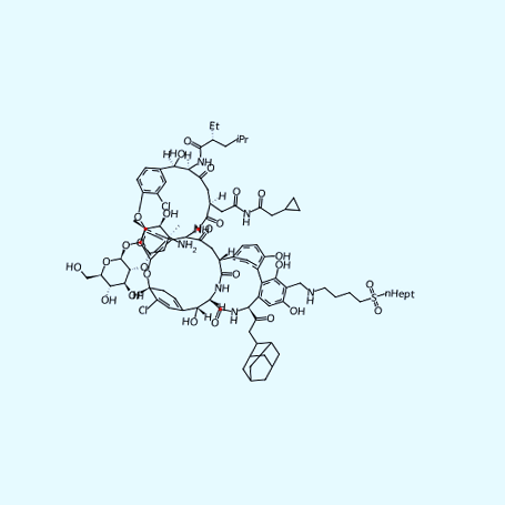 CCCCCCCS(=O)(=O)CCCCNCc1c(O)cc2c(c1O)-c1cc(ccc1O)[C@H]1CC(=O)[C@@H]3NC(=O)[C@H](CC(=O)NC(=O)CC4CC4)CC(=O)[C@H](NC(=O)[C@H](CC)CC(C)C)[C@H](O)c4ccc(c(Cl)c4)Oc4cc3cc(c4O[C@@H]3O[C@H](CO)[C@@H](O)[C@H](O)[C@H]3O[C@H]3C[C@](C)(N)[C@H](O)[C@H](C)O3)O[C@@H]3CC=C(C=C3Cl)[C@@H](O)[C@H](NC1=O)C(=O)N[C@@H]2C(=O)CC1C2CC3CC(C2)CC1C3